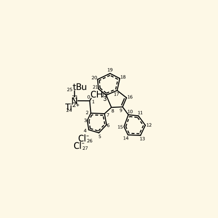 CC(c1ccccc1C1C(c2ccccc2)=Cc2ccccc21)[N]([Ti+2])C(C)(C)C.[Cl-].[Cl-]